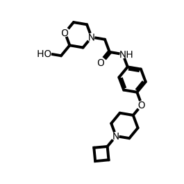 O=C(CN1CCOC(CO)C1)Nc1ccc(OC2CCN(C3CCC3)CC2)cc1